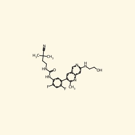 Cc1nc2cc(NCCO)ncc2cc1-c1cc(NC(=O)NCCC(C)(C)C#N)c(F)cc1F